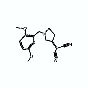 COc1ccc(OC)c(CN2CCC(=C(C#N)C#N)C2)c1